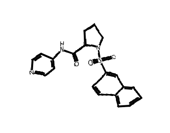 O=C(Nc1ccncc1)C1CCCN1S(=O)(=O)c1ccc2ccccc2c1